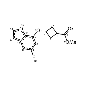 COC(=O)[C@H]1C[C@H](Oc2cc(F)cc3ccoc23)C1